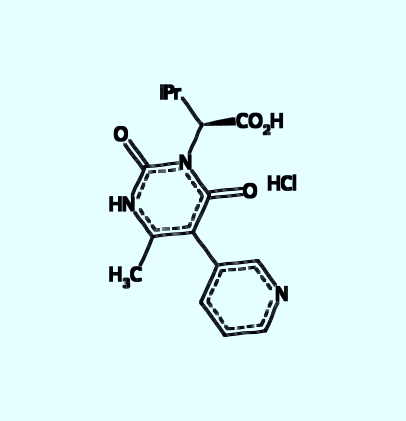 Cc1[nH]c(=O)n([C@H](C(=O)O)C(C)C)c(=O)c1-c1cccnc1.Cl